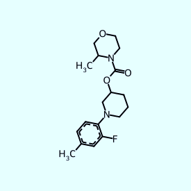 Cc1ccc(N2CCCC(OC(=O)N3CCOCC3C)C2)c(F)c1